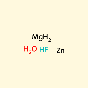 F.O.[MgH2].[Zn]